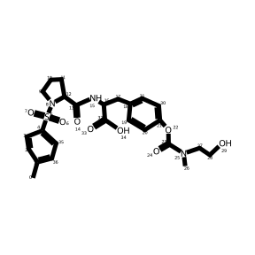 Cc1ccc(S(=O)(=O)N2CCCC2C(=O)NC(Cc2ccc(OC(=O)N(C)CCO)cc2)C(=O)O)cc1